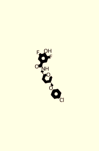 O=C(NC[C@H]1CC[C@@H](COc2ccc(Cl)cc2)CO1)c1cc(F)c(O)c(F)c1